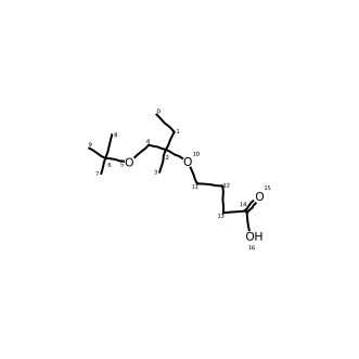 CCC(C)(COC(C)(C)C)OCCCC(=O)O